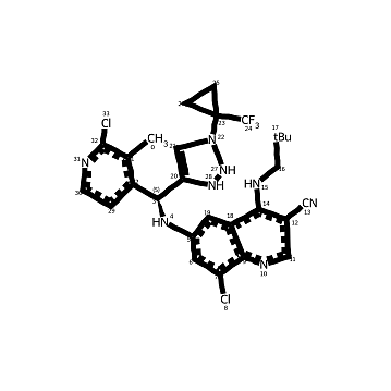 Cc1c([C@H](Nc2cc(Cl)c3ncc(C#N)c(NCC(C)(C)C)c3c2)C2=CN(C3(C(F)(F)F)CC3)NN2)ccnc1Cl